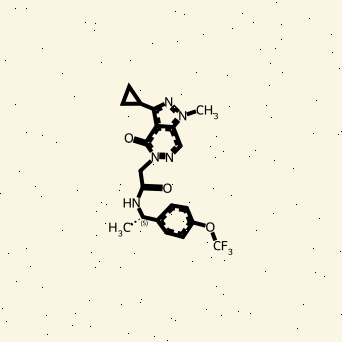 C[C@H](NC(=O)Cn1ncc2c(c(C3CC3)nn2C)c1=O)c1ccc(OC(F)(F)F)cc1